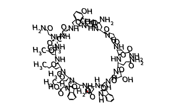 CCCC[C@H]1C(=O)N(C)[C@@H](CCCC)C(=O)N[C@@H](CC(C)C)C(=O)N[C@H](C(=O)NCC(N)=O)CNCC(=O)N[C@@H](Cc2ccc(O)cc2)C(=O)N(C)[C@@H](C)C(=O)N[C@@H](CC(N)=O)C(=O)N2CCC[C@H]2C(=O)N[C@@H](CCC(N)=O)C(=O)N[C@@H](CCC(N)=O)C(=O)N2C[C@H](O)C[C@H]2C(=O)N[C@@H](Cc2c[nH]c3ccccc23)C(=O)N[C@@H](CC(N)=O)C(=O)N[C@@H](Cc2cn(CC(=O)O)c3ccccc23)C(=O)N1C